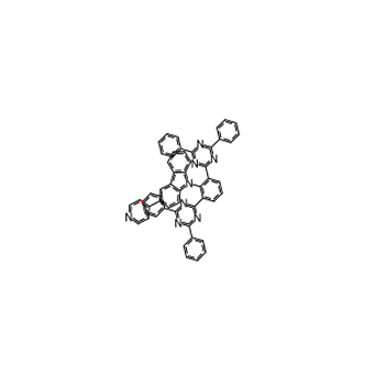 c1ccc(-c2nc(-c3ccccc3)nc(-c3cccc(-c4nc(-c5ccccc5)nc(-c5ccccc5)n4)c3-n3c4ccccc4c4cc(-c5ccncc5)ccc43)n2)cc1